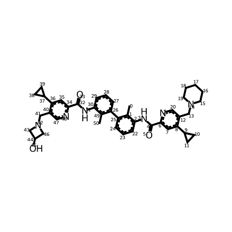 Cc1c(NC(=O)c2cc(C3CC3)c(CN3CCCCC3)cn2)cccc1-c1cccc(NC(=O)c2cc(C3CC3)c(CN3CC(O)C3)cn2)c1C